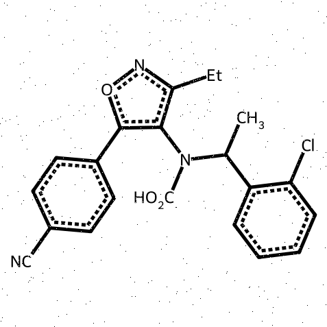 CCc1noc(-c2ccc(C#N)cc2)c1N(C(=O)O)C(C)c1ccccc1Cl